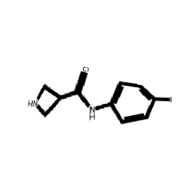 O=C(Nc1ccc(I)cc1)C1CNC1